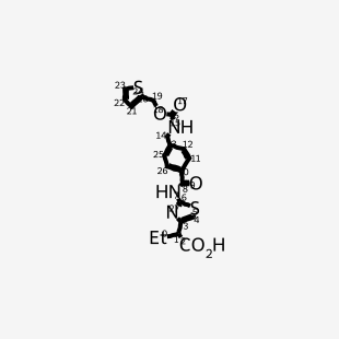 CCC(C(=O)O)c1csc(NC(=O)c2ccc(CNC(=O)OCc3cccs3)cc2)n1